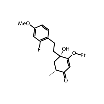 CCOC1=CC(=O)[C@H](C)C[C@@]1(O)CCc1ccc(OC)cc1F